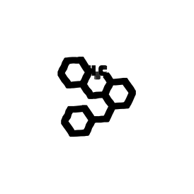 CC1CCCC(CC2CCCCC2)C1CC1CCCCC1